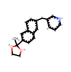 CC1(c2ccc3cc(Cc4cccnc4)ccc3c2)OCCO1